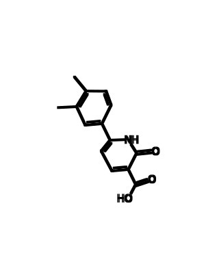 Cc1ccc(-c2ccc(C(=O)O)c(=O)[nH]2)cc1C